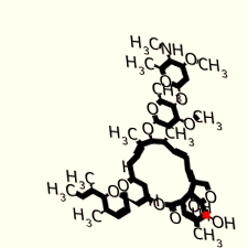 CC[C@H](C)[C@H]1O[C@]2(C=C[C@@H]1C)C[C@@H]1C[C@@H](C/C=C(\C)[C@@H](O[C@H]3C[C@H](OC)[C@@H](O[C@H]4C[C@H](OC)[C@H](NC)[C@H](C)O4)[C@H](C)O3)[C@@H](C)/C=C/C=C3\CO[C@@H]4[C@H](O)C(C)=C[C@@H](C(=O)O1)[C@]34O)O2